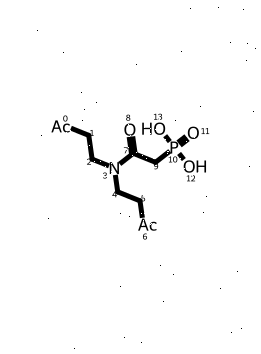 CC(=O)CCN(CCC(C)=O)C(=O)CP(=O)(O)O